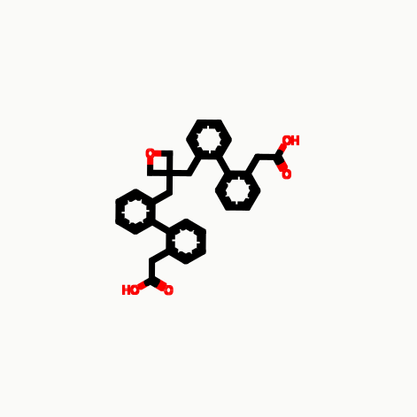 O=C(O)Cc1ccccc1-c1ccccc1CC1(Cc2ccccc2-c2ccccc2CC(=O)O)COC1